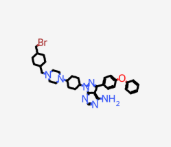 Nc1ncnc2c1c(-c1ccc(Oc3ccccc3)cc1)nn2C1CCC(N2CCN(CC3CCC(CBr)CC3)CC2)CC1